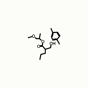 CCCC(CO)C(=O)OC(C)COC.Cc1ccc(C)cc1